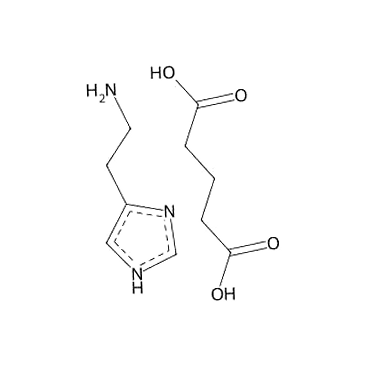 NCCc1c[nH]cn1.O=C(O)CCCC(=O)O